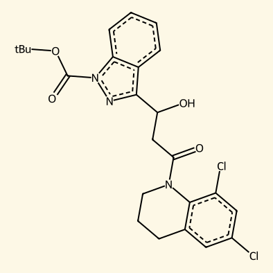 CC(C)(C)OC(=O)n1nc(C(O)CC(=O)N2CCCc3cc(Cl)cc(Cl)c32)c2ccccc21